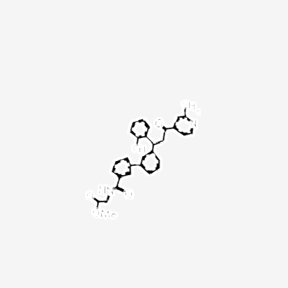 COC(=O)CNC(=O)c1cccc(-c2cccc(C(CC(=O)c3ccnc(C)c3)c3ccccc3C)c2)c1